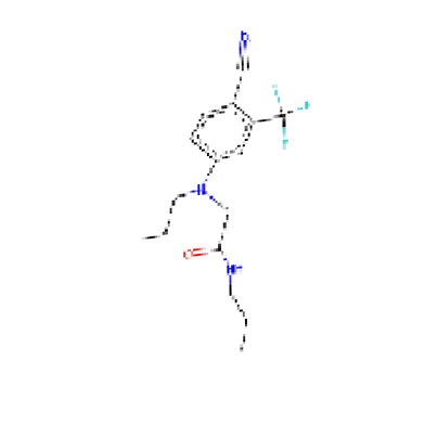 CCCNC(=O)CN(CCC)c1ccc(C#N)c(C(F)(F)F)c1